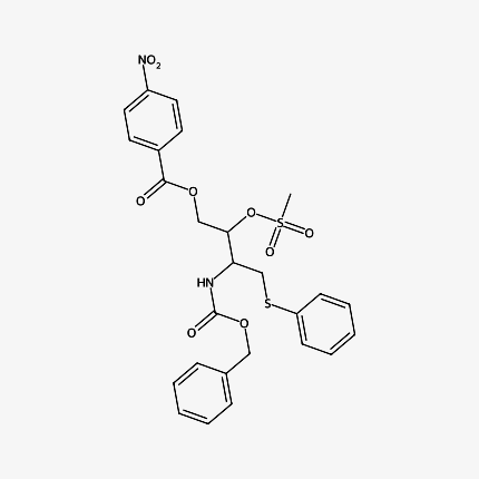 CS(=O)(=O)OC(COC(=O)c1ccc([N+](=O)[O-])cc1)C(CSc1ccccc1)NC(=O)OCc1ccccc1